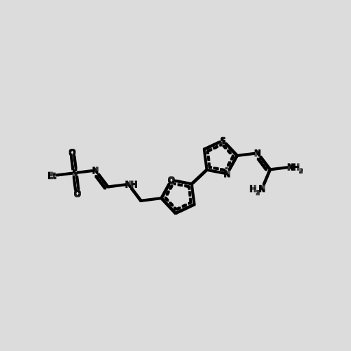 CCS(=O)(=O)/N=C/NCc1ccc(-c2csc(N=C(N)N)n2)o1